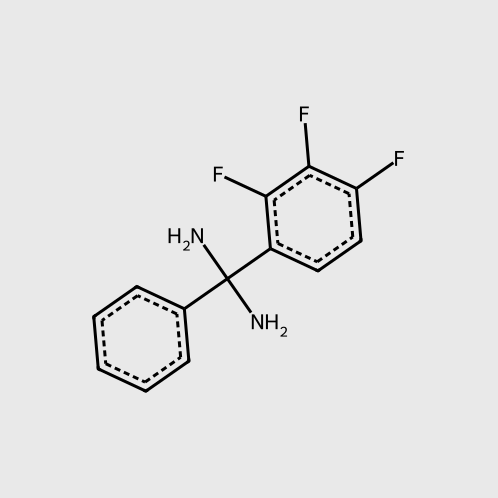 NC(N)(c1ccccc1)c1ccc(F)c(F)c1F